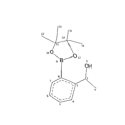 CC(O)c1ccccc1B1OC(C)(C)C(C)(C)O1